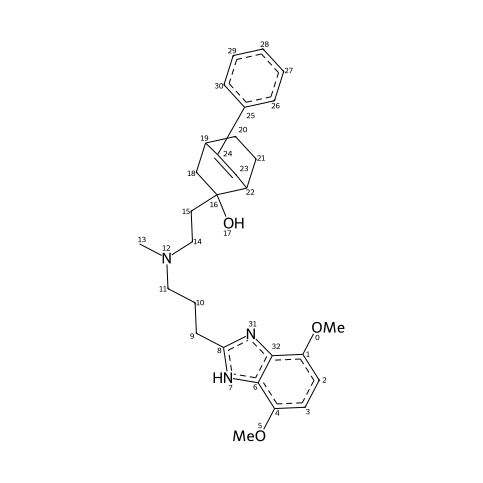 COc1ccc(OC)c2[nH]c(CCCN(C)CCC3(O)CC4CCC3C=C4c3ccccc3)nc12